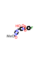 COC(=O)N1CCN(Cc2ccn(S(=O)(=O)c3ccc(F)cc3)c(=O)c2O)CC1